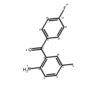 Cc1ccc(N)c(C(=O)c2ccc(F)cc2)c1